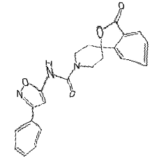 O=C1OC2(CCN(C(=O)Nc3cc(-c4ccccc4)no3)CC2)c2ccccc21